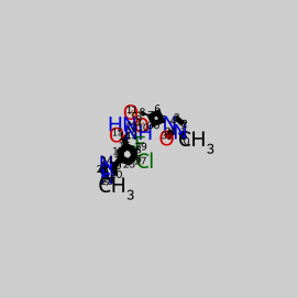 CN1CCN([C@H]2C[C@H](CS(=O)(=O)NNC(=O)c3cc(-c4cn(C)cn4)cc(Cl)c3F)C2)C1=O